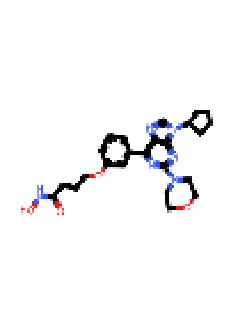 O=C(CCCOc1cccc(-c2nc(N3CCOCC3)nc3c2ncn3C2CCCC2)c1)NO